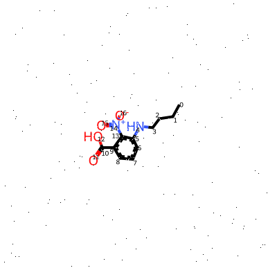 CCCCNc1cccc(C(=O)O)c1[N+](=O)[O-]